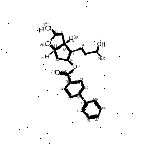 CC[C@H](O)CC[C@H]1C(OC(=O)c2ccc(-c3ccccc3)cc2)C[C@@H]2OC(O)C[C@@H]21